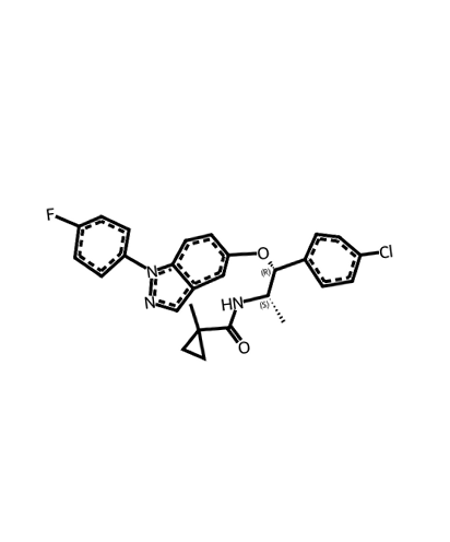 C[C@H](NC(=O)C1(C)CC1)[C@H](Oc1ccc2c(cnn2-c2ccc(F)cc2)c1)c1ccc(Cl)cc1